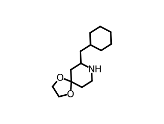 C1CCC(CC2CC3(CCN2)OCCO3)CC1